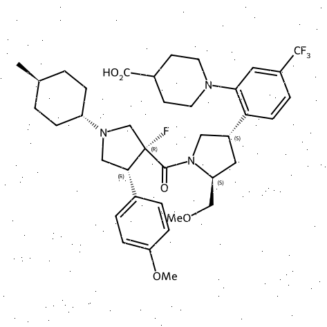 COC[C@@H]1C[C@@H](c2ccc(C(F)(F)F)cc2N2CCC(C(=O)O)CC2)CN1C(=O)[C@]1(F)CN([C@H]2CC[C@H](C)CC2)C[C@H]1c1ccc(OC)cc1